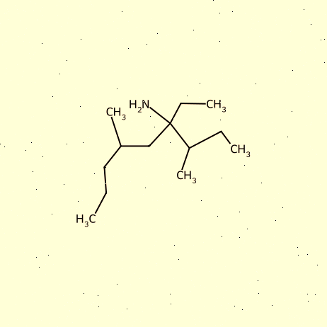 CCCC(C)CC(N)(CC)C(C)CC